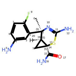 C[C@]1(c2cc(N)ccc2F)N=C(N)S[C@@]2(C(N)=O)C[C@H]21